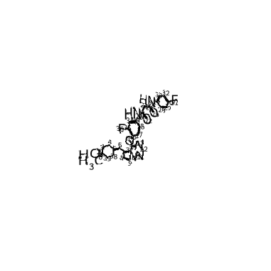 CC1(O)CCC(=Cc2ccn3ncnc(Oc4ccc(NC(=O)CC(=O)Nc5ccc(F)cc5)cc4F)c23)CC1